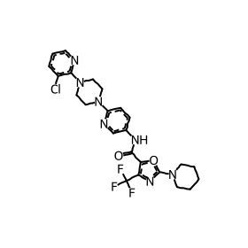 O=C(Nc1ccc(N2CCN(c3ncccc3Cl)CC2)nc1)c1oc(N2CCCCC2)nc1C(F)(F)F